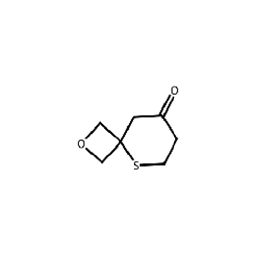 O=C1CCSC2(COC2)C1